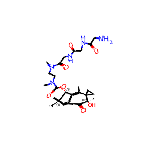 [CH2][C@]1(C)C=C2C(=O)[C@](C)(O)C3(CC3)C(C)=C2[C@H]1OC(=O)N(C)CCN(C)C(=O)CNC(=O)CNC(=O)CN